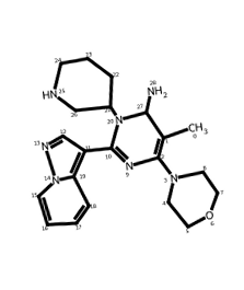 CC1=C(N2CCOCC2)N=C(c2cnn3ccccc23)N(C2CCCNC2)C1N